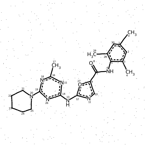 Cc1cc(C)c(NC(=O)c2cnc(Nc3nc(C)nc(N4CCCCC4)n3)o2)c(C)c1